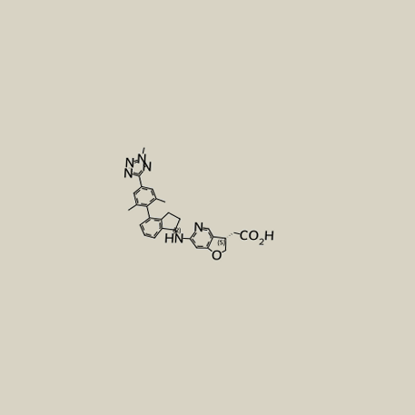 Cc1cc(-c2nnn(C)n2)cc(C)c1-c1cccc2c1CC[C@H]2Nc1cc2c(cn1)[C@H](CC(=O)O)CO2